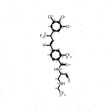 F/C(=C\C(c1cc(Cl)c(Cl)c(Cl)c1)C(F)(F)F)c1ccc(C(=S)NC(C=S)CNCC(F)(F)F)c(C(F)(F)F)c1